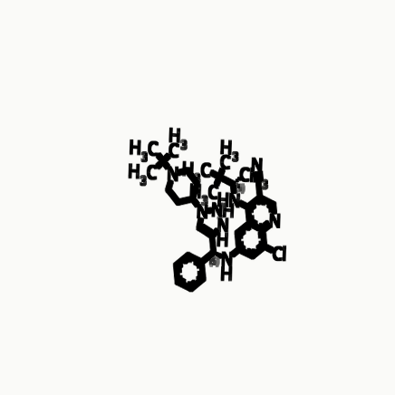 C[C@H](Nc1c(C#N)cnc2c(Cl)cc(N[C@H](C3=CN(C4CCN(C(C)(C)C)CC4)NN3)c3ccccc3)cc12)C(C)(C)C